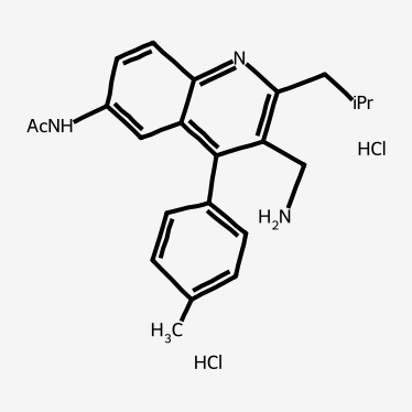 CC(=O)Nc1ccc2nc(CC(C)C)c(CN)c(-c3ccc(C)cc3)c2c1.Cl.Cl